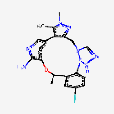 C[C@H]1Oc2cc(cnc2N)-c2c(nn(C)c2C#N)CN2C=NNN2c2ccc(F)cc21